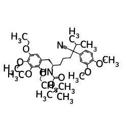 CCOc1cc(C[C@@H](CCCC(C#N)(c2ccc(OC)c(OC)c2)C(C)C)NC(=O)OC(C)(C)C)c(OCC)c(OC)c1OC